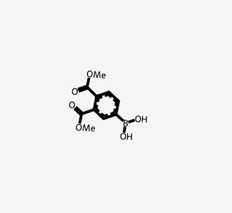 COC(=O)c1ccc(B(O)O)cc1C(=O)OC